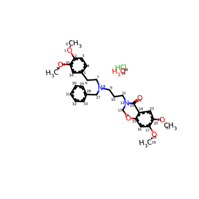 COc1ccc(CCN(CCCN2COc3cc(OC)c(OC)cc3C2=O)Cc2ccccc2)cc1OC.Cl.O